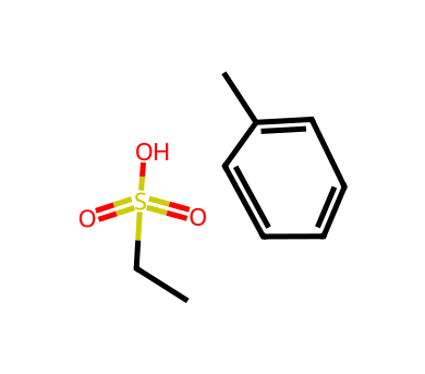 CCS(=O)(=O)O.Cc1ccccc1